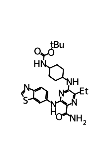 CCc1nc(C(N)=O)c(Nc2ccc3ncsc3c2)nc1NC1CCC(NC(=O)OC(C)(C)C)CC1